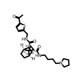 CC(=O)c1ccc(CNC(=O)[C@H]2[C@H](C(=O)NCCCCN3CCCC3)[C@H]3CC[C@@H]2C32CC2)s1